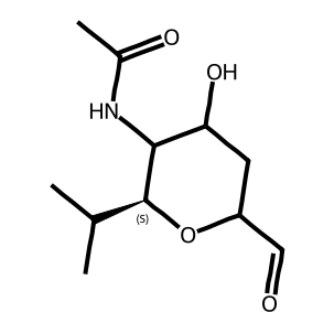 CC(=O)NC1C(O)CC(C=O)O[C@H]1C(C)C